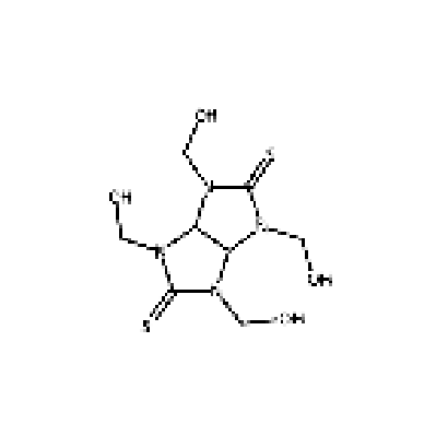 OCN1C(=S)N(CO)C2C1N(CO)C(=S)N2CO